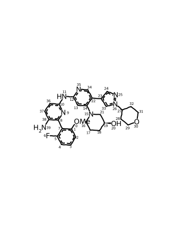 COc1cccc(F)c1-c1nc(Nc2cc(N3CCC[C@H](O)C3)c(-c3cnn(C4CCOCC4)c3)cn2)ccc1N